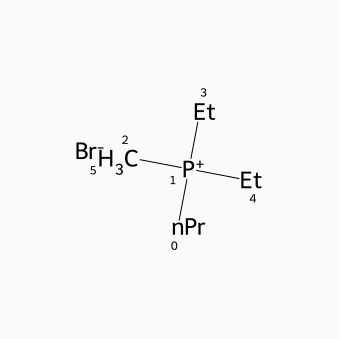 CCC[P+](C)(CC)CC.[Br-]